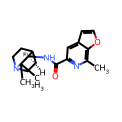 Cc1nc(C(=O)N[C@@H]2C3CCN(CC3)C2(C)C)cc2ccoc12